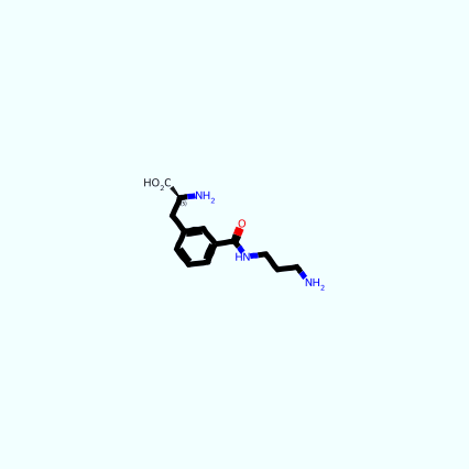 NCCCNC(=O)c1cccc(C[C@H](N)C(=O)O)c1